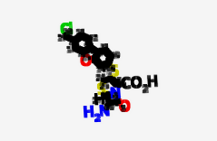 N[C@@H]1C(=O)N2C(C(=O)O)=C(Sc3ccc4c(c3)oc3cc(CCl)ccc34)CS[C@@H]12